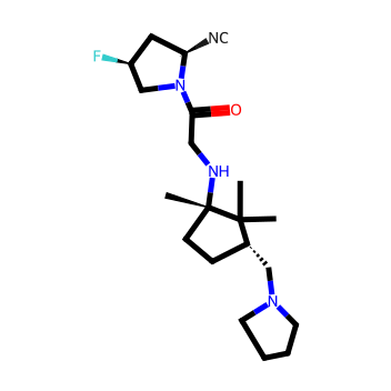 [C-]#[N+][C@@H]1C[C@H](F)CN1C(=O)CN[C@@]1(C)CC[C@@H](CN2CCCC2)C1(C)C